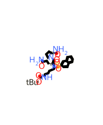 CC(C)(C)OC(=O)NCCCCN([C@H](CCC(N)=O)C(=O)N1CCC[C@H]1C(N)=O)S(=O)(=O)c1ccc2ccccc2c1